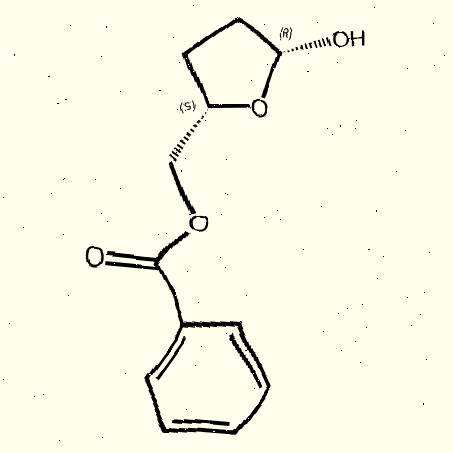 O=C(OC[C@@H]1CC[C@H](O)O1)c1ccccc1